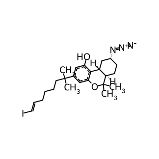 CC(C)(CCCCC=CI)c1cc(O)c2c(c1)OC(C)(C)[C@@H]1CC[C@@H](N=[N+]=[N-])C[C@@H]21